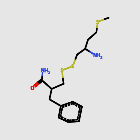 CSCCC(N)CSSCC(Cc1ccccc1)C(N)=O